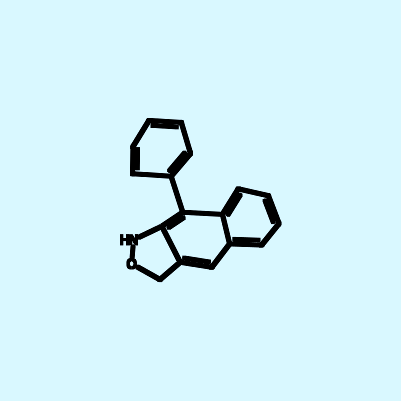 c1ccc(-c2c3c(cc4ccccc24)CON3)cc1